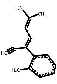 C#C/C(=C\C=C(/C)N)c1ccccc1C